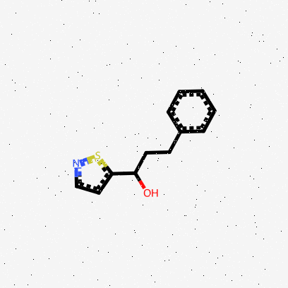 OC(CCc1ccccc1)c1ccns1